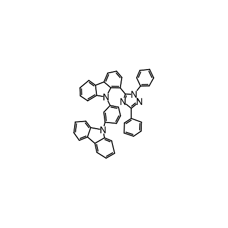 c1ccc(-c2nc(-c3cccc4c5ccccc5n(-c5cccc(-n6c7ccccc7c7ccccc76)c5)c34)n(-c3ccccc3)n2)cc1